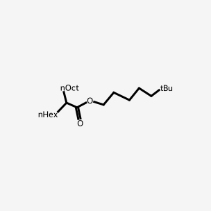 CCCCCCCCC(CCCCCC)C(=O)OCCCCCC(C)(C)C